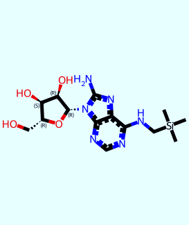 C[Si](C)(C)CNc1ncnc2c1nc(N)n2[C@@H]1O[C@H](CO)[C@@H](O)[C@H]1O